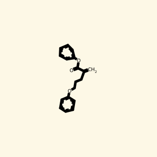 C=C(CCCOc1ccccc1)C(=O)Oc1ccccc1